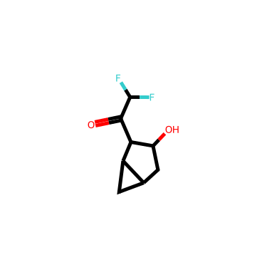 O=C(C(F)F)C1C(O)CC2CC21